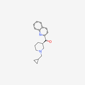 O=C(c1ccc2ccccc2n1)[C@@H]1CCCN(CC2CC2)C1